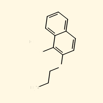 Cl.NCCOc1ccc2ccccc2c1Cl